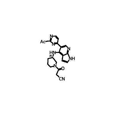 CC(=O)c1nccc(-c2cnc3[nH]ccc3c2N[C@@H]2CCCN(C(=O)CC#N)C2)n1